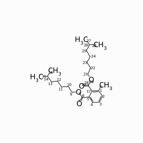 Cc1cccc(C(=O)OCCCCCC(C)C)c1C(=O)OCCCCCC(C)C